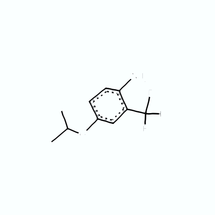 CC(C)Oc1ccc(N)c(C(F)(F)F)c1